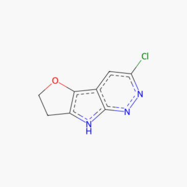 Clc1cc2c3c([nH]c2nn1)CCO3